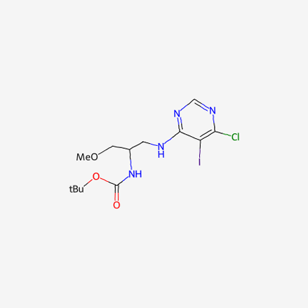 COCC(CNc1ncnc(Cl)c1I)NC(=O)OC(C)(C)C